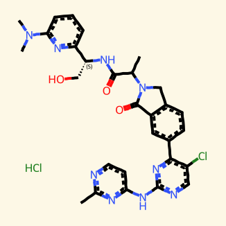 Cc1nccc(Nc2ncc(Cl)c(-c3ccc4c(c3)C(=O)N(C(C)C(=O)N[C@H](CO)c3cccc(N(C)C)n3)C4)n2)n1.Cl